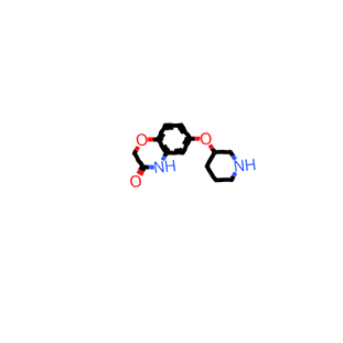 O=C1COc2ccc(OC3CCCNC3)cc2N1